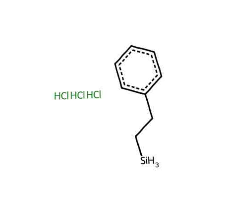 Cl.Cl.Cl.[SiH3]CCc1ccccc1